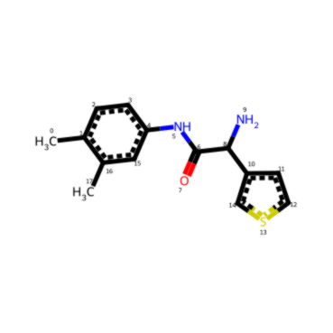 Cc1ccc(NC(=O)C(N)c2ccsc2)cc1C